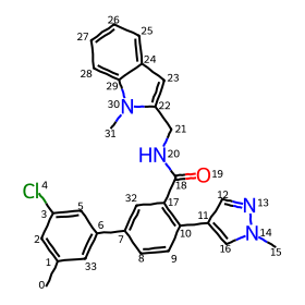 Cc1cc(Cl)cc(-c2ccc(-c3cnn(C)c3)c(C(=O)NCc3cc4ccccc4n3C)c2)c1